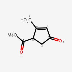 COC(=O)C1CC(=O)C=C1C(=O)O